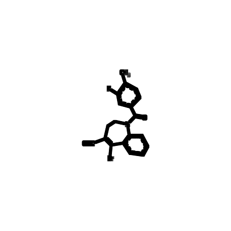 Cc1ccc(C(=O)N2CCC(C=O)=C(Br)c3ccccc32)cc1F